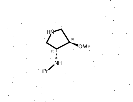 CO[C@@H]1CNC[C@H]1NC(C)C